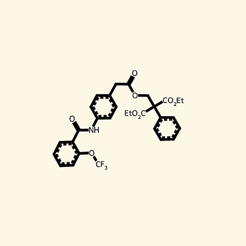 CCOC(=O)C(COC(=O)Cc1ccc(NC(=O)c2ccccc2OC(F)(F)F)cc1)(C(=O)OCC)c1ccccc1